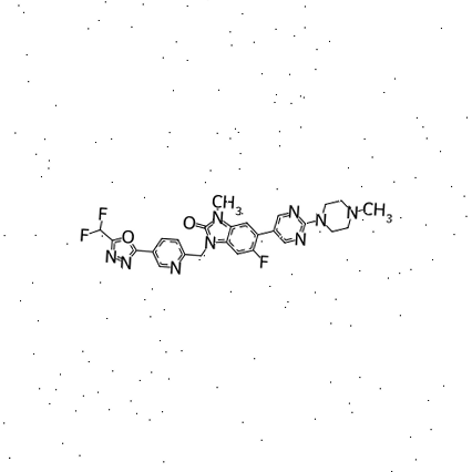 CN1CCN(c2ncc(-c3cc4c(cc3F)n(Cc3ccc(-c5nnc(C(F)F)o5)cn3)c(=O)n4C)cn2)CC1